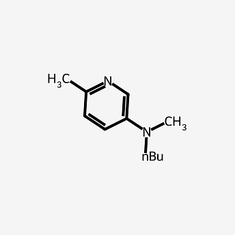 CCCCN(C)c1ccc(C)nc1